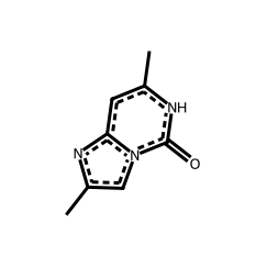 Cc1cn2c(=O)[nH]c(C)cc2n1